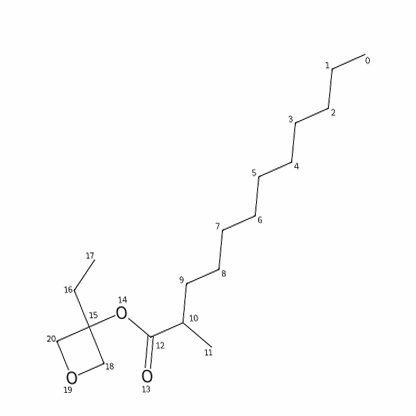 CCCCCCCCCCC(C)C(=O)OC1(CC)COC1